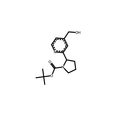 CC(C)(C)OC(=O)N1CCCC1c1cc(CO)ccn1